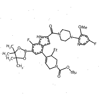 CCC1CN(C(=O)OC(C)(C)C)CC=C1c1cc(B2OC(C)(C)C(C)(C)O2)c(F)c2[nH]c(C(=O)N3CCN(c4ncc(F)cc4OC)CC3)cc12